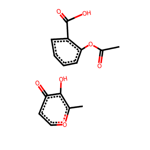 CC(=O)Oc1ccccc1C(=O)O.Cc1occc(=O)c1O